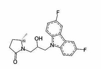 C[C@H]1CCC(=O)N1CC(O)Cn1c2ccc(F)cc2c2cc(F)ccc21